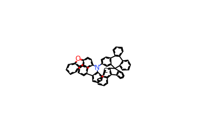 c1ccc(-c2ccccc2N(c2ccc3c(c2)C2(c4ccccc4-c4ccccc4-3)c3ccccc3-c3c2ccc2ccccc32)c2ccc3oc4ccccc4c3c2)cc1